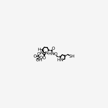 O=C(NOC[C@H]1C[C@@H](CS)CN1)[C@@H]1CC[C@@H]2CN1C(=O)N2OS(=O)(=O)O